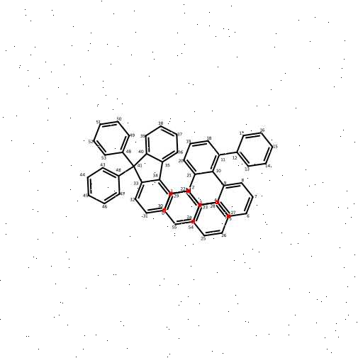 c1ccc(-c2ccccc2-c2c(-c3ccccc3)cccc2N(c2ccccc2)c2cccc3c2-c2ccccc2C3(c2ccccc2)c2ccccc2)cc1